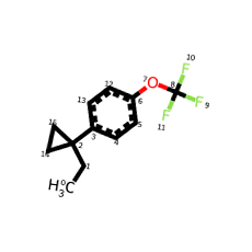 C[CH]C1(c2ccc(OC(F)(F)F)cc2)CC1